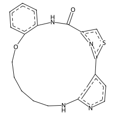 O=C1Nc2ccccc2OCCCCCNc2cc(ccn2)-c2nc1cs2